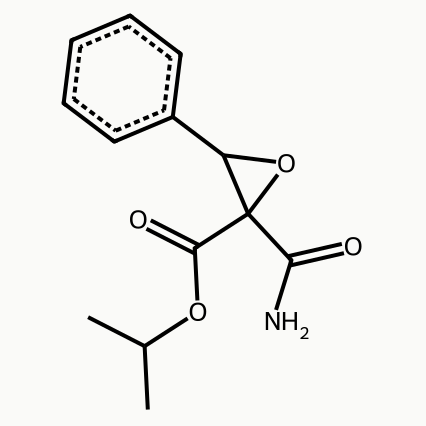 CC(C)OC(=O)C1(C(N)=O)OC1c1ccccc1